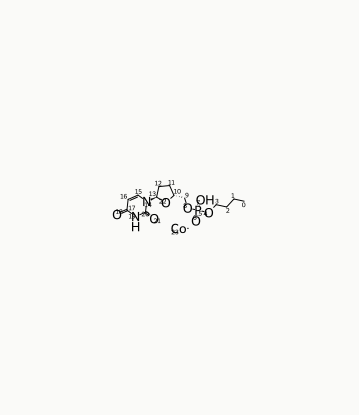 CCCCOP(=O)(O)OC[C@H]1CC[C@H](n2ccc(=O)[nH]c2=O)O1.[Co]